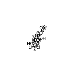 COC(=O)c1c([S+]([O-])CC(=O)OCOC(=O)C(C)(C)C)c(O)cc2oc3c(Cl)c(C)c(Cl)c(O)c3c(=O)c12